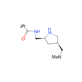 CNC[C@@H]1CN[C@H](CNC(=O)C(C)C)C1